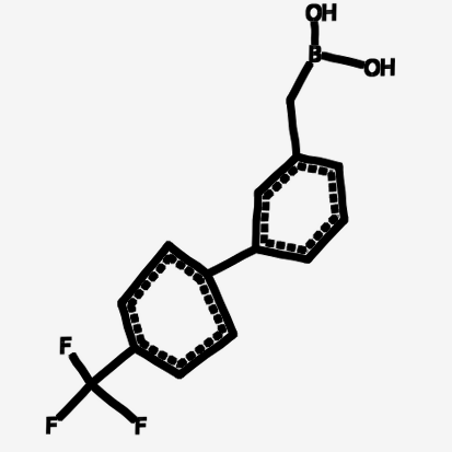 OB(O)Cc1cccc(-c2ccc(C(F)(F)F)cc2)c1